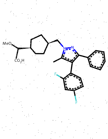 COC(C(=O)O)[C@H]1CC[C@@H](Cn2nc(-c3ccccc3)c(-c3ccc(F)cc3F)c2C)CC1